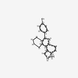 Fc1ccc(-c2nc3ccc4[nH]ncc4c3c3c2CCCC3)cc1